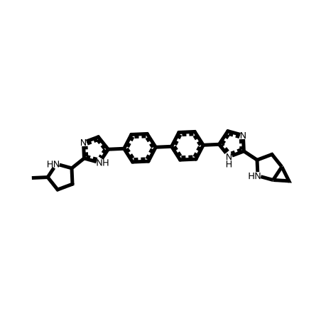 CC1CCC(c2ncc(-c3ccc(-c4ccc(-c5cnc(C6CC7CC7N6)[nH]5)cc4)cc3)[nH]2)N1